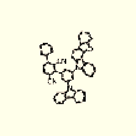 N#Cc1ccc(-c2ccccc2)c(C#N)c1-c1cc(-n2c3ccccc3c3ccccc32)cc(-n2c3ccccc3c3c4oc5ccccc5c4ccc32)c1